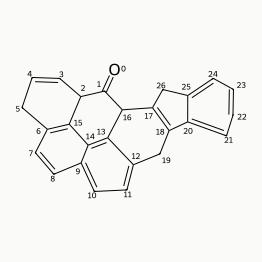 O=C1C2C=CCc3ccc4ccc5c(c4c32)C1C1=C(C5)c2ccccc2C1